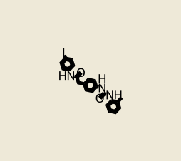 Cc1ccccc1NC(=O)Nc1ccc(CC(=O)Nc2ccc(I)cc2)cc1